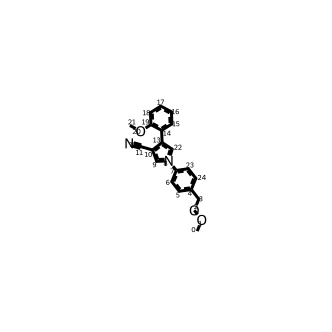 COOCc1ccc(-n2cc(C#N)c(-c3ccccc3OC)c2)cc1